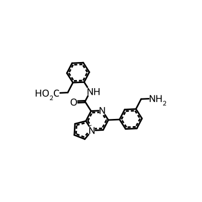 NCc1cccc(-c2cn3cccc3c(C(=O)Nc3ccccc3CC(=O)O)n2)c1